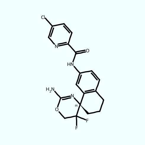 NC1=N[C@@]2(CCCc3ccc(NC(=O)c4ccc(Cl)cn4)cc32)C(F)(F)CO1